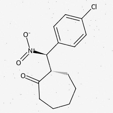 O=C1CCCCC[C@H]1[C@H](c1ccc(Cl)cc1)[N+](=O)[O-]